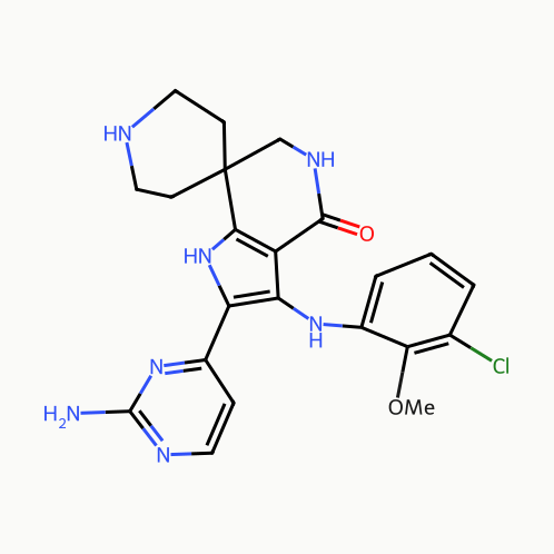 COc1c(Cl)cccc1Nc1c(-c2ccnc(N)n2)[nH]c2c1C(=O)NCC21CCNCC1